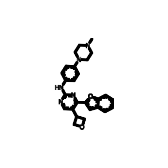 CN1CCN(c2ccc(Nc3ncc(C4COC4)c(-c4cc5ccccc5o4)n3)cc2)CC1